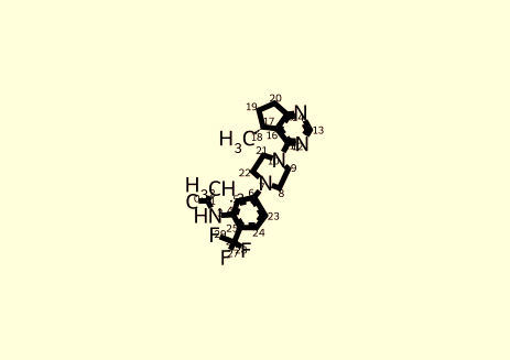 CC(C)Nc1[c]c(N2CCN(c3ncnc4c3[C@H](C)CC4)CC2)ccc1C(F)(F)F